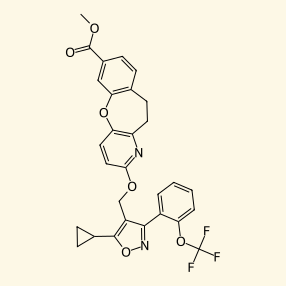 COC(=O)c1ccc2c(c1)Oc1ccc(OCc3c(-c4ccccc4OC(F)(F)F)noc3C3CC3)nc1CC2